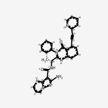 C[C@@H](NC(=O)c1c(N)nn2cccnc12)c1nc2cccc(C#Cc3ccccn3)c2c(=O)n1-c1ccccc1